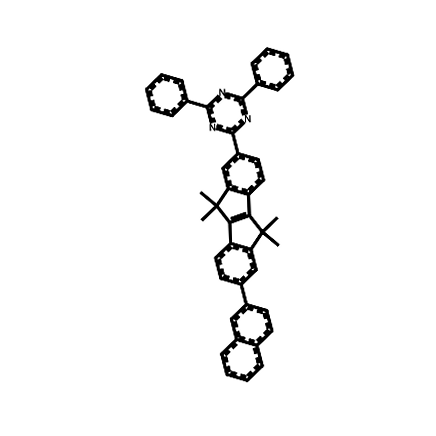 CC1(C)C2=C(c3ccc(-c4ccc5ccccc5c4)cc31)C(C)(C)c1cc(-c3nc(-c4ccccc4)nc(-c4ccccc4)n3)ccc12